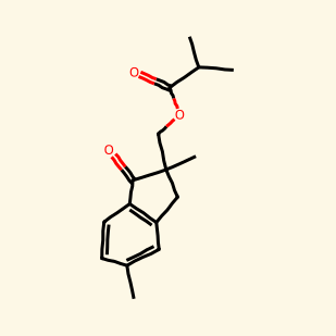 Cc1ccc2c(c1)CC(C)(COC(=O)C(C)C)C2=O